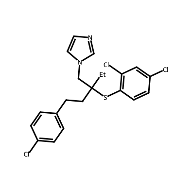 CCC(CCc1ccc(Cl)cc1)(Cn1ccnc1)Sc1ccc(Cl)cc1Cl